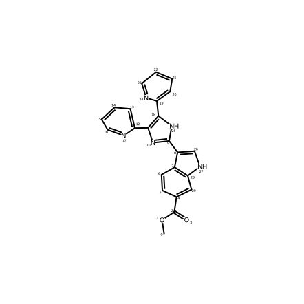 COC(=O)c1ccc2c(-c3nc(-c4ccccn4)c(-c4ccccn4)[nH]3)c[nH]c2c1